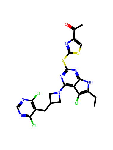 CCc1[nH]c2nc(Sc3nc(C(C)=O)cs3)nc(N3CC(Cc4c(Cl)ncnc4Cl)C3)c2c1Cl